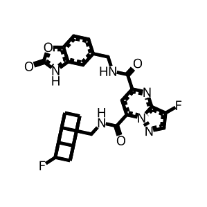 O=C(NCc1ccc2oc(=O)[nH]c2c1)c1cc(C(=O)NCC23C4C5C2C2C3C4C52F)n2ncc(F)c2n1